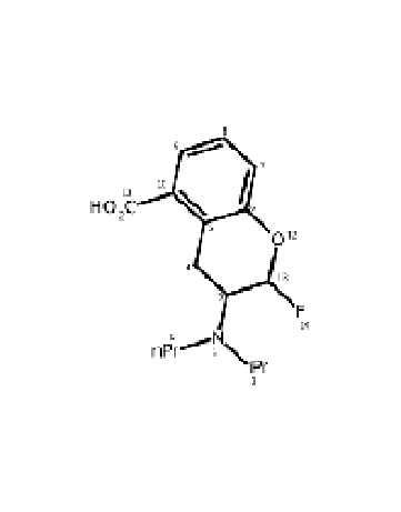 CCCN(C(C)C)C1Cc2c(cccc2C(=O)O)OC1F